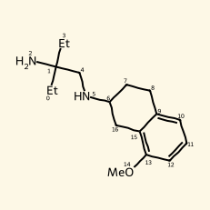 CCC(N)(CC)CNC1CCc2cccc(OC)c2C1